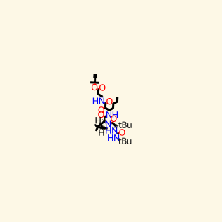 C#CC(C)(C)OC(=O)CCNC(=O)C(=O)C(CCC=C)NC(=O)[C@@H]1[C@@H]2[C@H](CN1C(=O)[C@@H](NC(=O)NC(C)(C)C)C(C)(C)C)C2(C)C